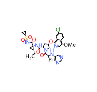 C=C[C@@H]1C[C@]1(NC(=O)[C@@H]1C[C@@H](Oc2ncc(OC)c3ccc(Cl)cc23)CN1C(=O)C(Nc1cncnc1)C(C)C)C(=O)NS(=O)(=O)C1CC1